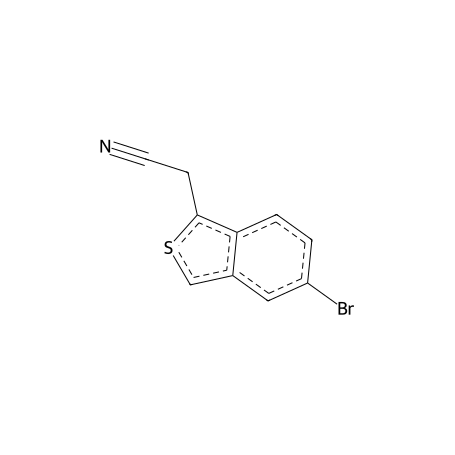 N#CCc1scc2cc(Br)ccc12